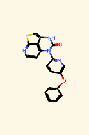 O=C1Nc2csc3nccc(c23)N1c1ccc(Oc2ccccc2)cn1